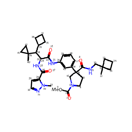 COC(=O)N1CCC(C(=O)NCC2(C)CCC2)(c2cccc(NC(=O)[C@@H](NC(=O)c3ccnn3C)C(C3CCC3)C3(C)CC3)c2)C1